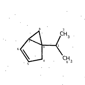 CC(C)C12CC=CC1C2